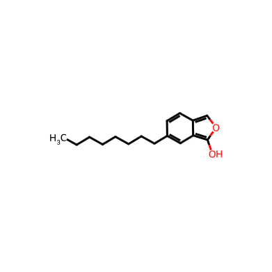 CCCCCCCCc1ccc2coc(O)c2c1